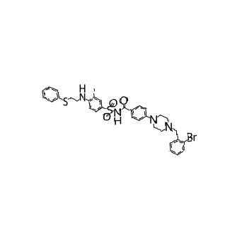 Cc1cc(S(=O)(=O)NC(=O)c2ccc(N3CCN(Cc4ccccc4Br)CC3)cc2)ccc1NCCSc1ccccc1